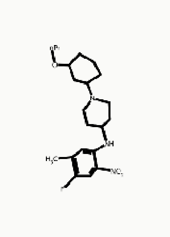 CCCOC1CCCC(N2CCC(Nc3cc(C)c(F)cc3[N+](=O)[O-])CC2)C1